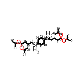 CC(C)OC(CCC[SiH2]c1ccc([SiH2]CCCC(OC(C)C)OC(C)C)cc1)OC(C)C